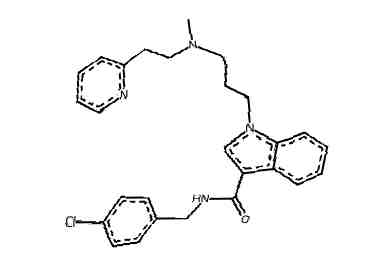 CN(CCCn1cc(C(=O)NCc2ccc(Cl)cc2)c2ccccc21)CCc1ccccn1